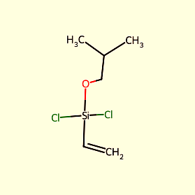 C=C[Si](Cl)(Cl)OCC(C)C